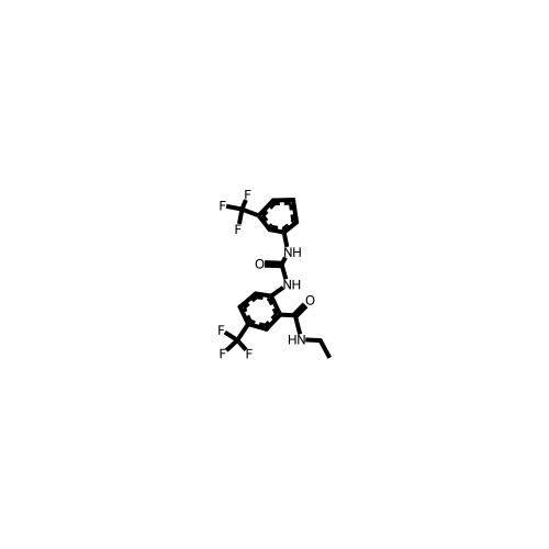 CCNC(=O)c1cc(C(F)(F)F)ccc1NC(=O)Nc1cccc(C(F)(F)F)c1